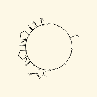 CB1CCCCCCCO[C@@H](C)[C@H](C(N)=O)NC(=O)[C@@H]2CCCN2C(=O)[C@@H]2CCCN2C(=O)[C@@H](N)[C@@H](C)OCCCC1